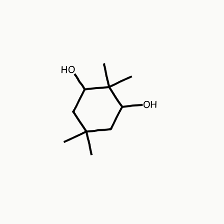 CC1(C)CC(O)C(C)(C)C(O)C1